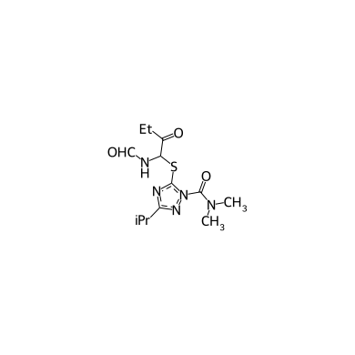 CCC(=O)C(NC=O)Sc1nc(C(C)C)nn1C(=O)N(C)C